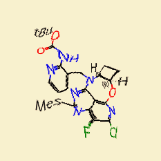 CSc1nc2c3c(nc(Cl)c(F)c3n1)O[C@@H]1CC[C@@H]1N2Cc1cccnc1NC(=O)OC(C)(C)C